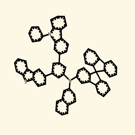 c1ccc(-n2c3ccccc3c3ccc(-c4cc(-c5ccc6sc7ccccc7c6c5)cc(N(c5ccc6c(c5)-c5ccccc5C65c6ccccc6-c6ccccc65)c5ccc6ccccc6c5)c4)cc32)cc1